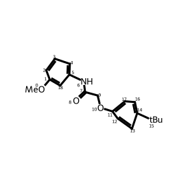 COc1cccc(NC(=O)COc2ccc(C(C)(C)C)cc2)c1